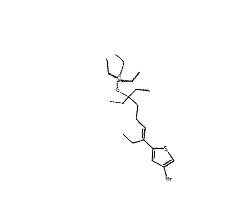 CC/C(=C\CCC(CC)(CC)O[Si](CC)(CC)CC)c1cc(Br)cs1